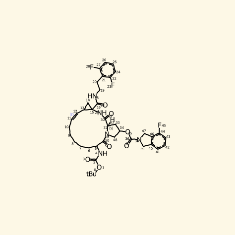 CC(C)(C)OC(=O)NC1CCCCC/C=C\C2CC2(C(=O)NCCc2c(F)cccc2F)NC(=O)[C@@H]2CC(OC(=O)N3Cc4cccc(F)c4C3)CN2C1=O